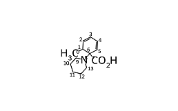 CC1C=CC=CC1(C(=O)O)N1CCCCC1